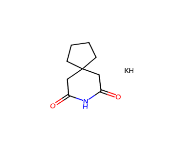 O=C1CC2(CCCC2)CC(=O)N1.[KH]